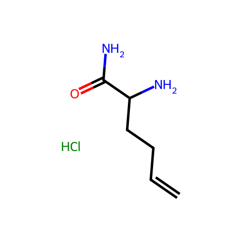 C=CCCC(N)C(N)=O.Cl